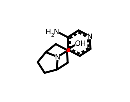 Nc1cnccc1N1C2CCC1CC(O)C2